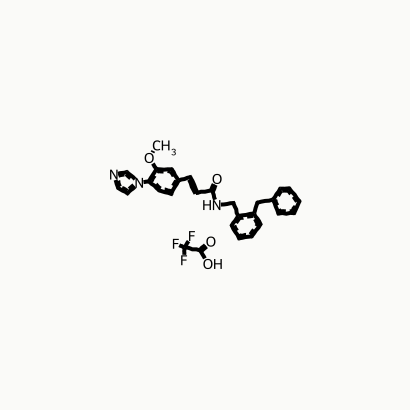 COc1cc(C=CC(=O)NCc2ccccc2Cc2ccccc2)ccc1-n1ccnc1.O=C(O)C(F)(F)F